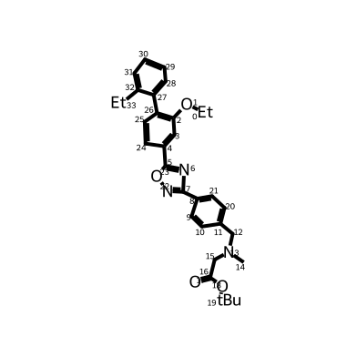 CCOc1cc(-c2nc(-c3ccc(CN(C)CC(=O)OC(C)(C)C)cc3)no2)ccc1-c1ccccc1CC